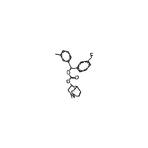 Cc1cccc(C(OC(=O)OC2CN3CCC2CC3)c2cccc(F)c2)c1